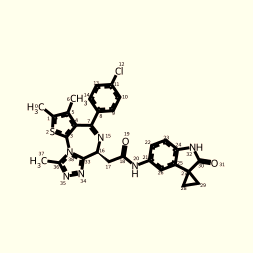 Cc1sc2c(c1C)C(c1ccc(Cl)cc1)=N[C@@H](CC(=O)Nc1ccc3c(c1)C1(CC1)C(=O)N3)c1nnc(C)n1-2